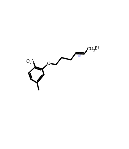 CCOC(=O)/C=C/CCCOc1cc(C)ccc1[N+](=O)[O-]